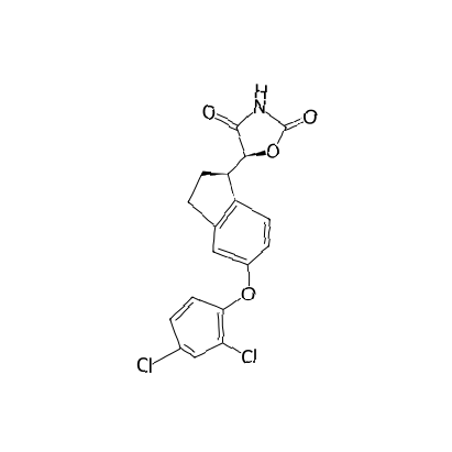 O=C1NC(=O)[C@H]([C@@H]2CCc3cc(Oc4ccc(Cl)cc4Cl)ccc32)O1